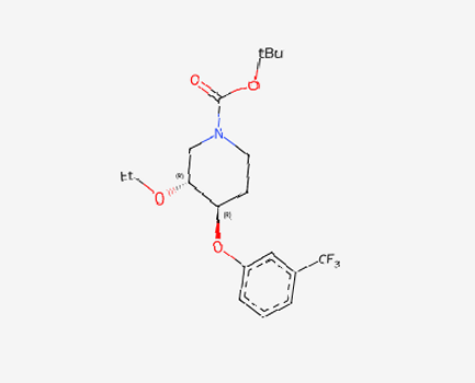 CCO[C@@H]1CN(C(=O)OC(C)(C)C)CC[C@H]1Oc1cccc(C(F)(F)F)c1